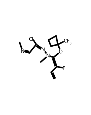 C=C/C(F)=C(/OC1(C(F)(F)F)CCC1)N(C)/N=C(Cl)\C=N/C